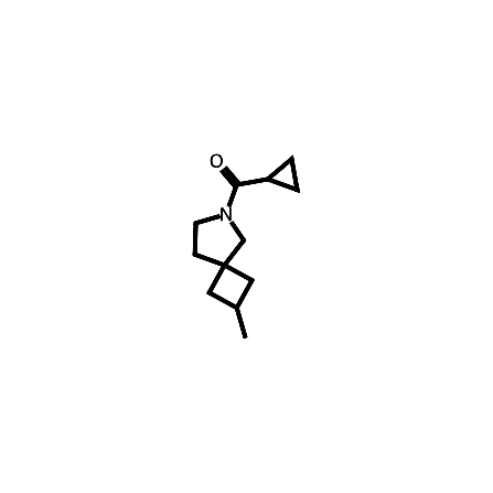 CC1CC2(CCN(C(=O)C3CC3)C2)C1